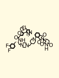 Cn1ncc(Cl)c1-c1cc(C(=O)N[C@@H](Cc2ccc(F)c(F)c2)CN2CCN(CC3CCN(c4cccc5c4C(=O)N(N4CCC(=O)NC4=O)C5=O)CC3)CC2)oc1Cl